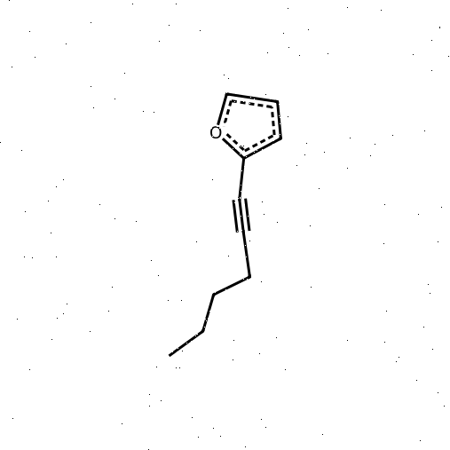 CCCCC#Cc1ccco1